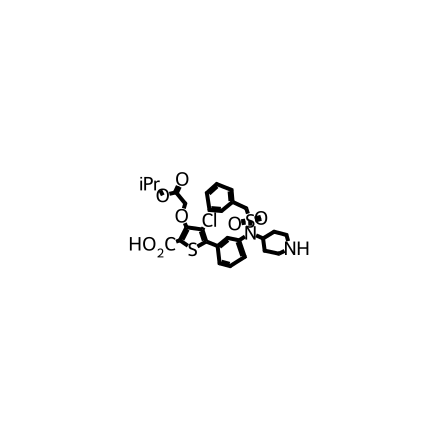 CC(C)OC(=O)COc1c(C(=O)O)sc(-c2cccc(N(C3CCNCC3)S(=O)(=O)Cc3ccccc3)c2)c1Cl